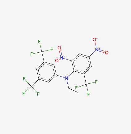 CCN(c1cc(C(F)(F)F)cc(C(F)(F)F)c1)c1c([N+](=O)[O-])cc([N+](=O)[O-])cc1C(F)(F)F